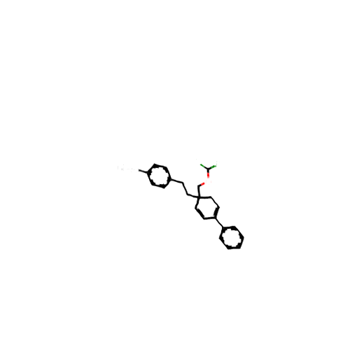 CCCCCCCCCCc1ccc(CCC2(COC(F)F)C=CC(c3ccccc3)=CC2)cc1